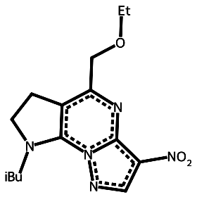 CCOCc1nc2c([N+](=O)[O-])cnn2c2c1CCN2C(C)CC